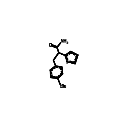 CC(C)(C)c1ccc(CC(C(N)=O)c2cccs2)cc1